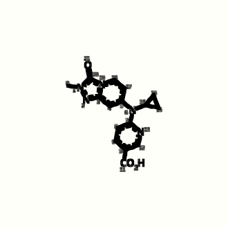 Cn1nc2cc(N(c3ccc(C(=O)O)cn3)C3CC3)ccn2c1=O